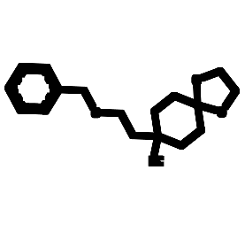 [C-]#[N+]C1(CCOCc2ccccc2)CCC2(CC1)OCCO2